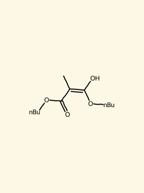 CCCCOC(=O)/C(C)=C(/O)OCCCC